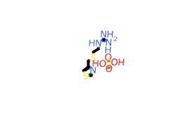 N=C(N)NCCSCc1cscn1.O=S(=O)(O)O